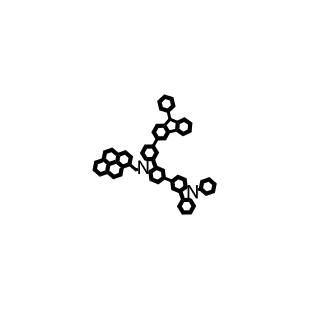 c1ccc(C2c3ccccc3-c3cc(-c4ccc5c(c4)c4cc(-c6ccc7c(c6)c6ccccc6n7-c6ccccc6)ccc4n5Cc4ccc5ccc6cccc7ccc4c5c67)ccc32)cc1